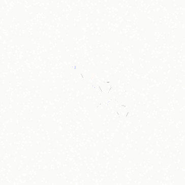 CCC/C=C/N=C(/Nc1cccc(Cl)c1F)c1c(C)ccc(NC(=O)/C=C/CNC2CCC2)c1C